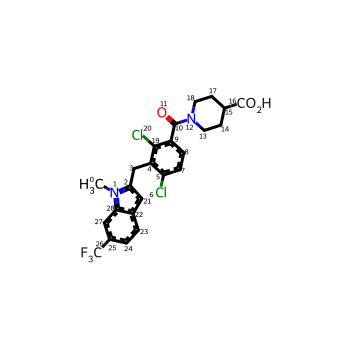 Cn1c(Cc2c(Cl)ccc(C(=O)N3CCC(C(=O)O)CC3)c2Cl)cc2ccc(C(F)(F)F)cc21